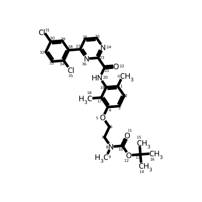 Cc1ccc(OCCN(C)C(=O)OC(C)(C)C)c(C)c1NC(=O)c1nccc(-c2cc(Cl)ccc2Cl)n1